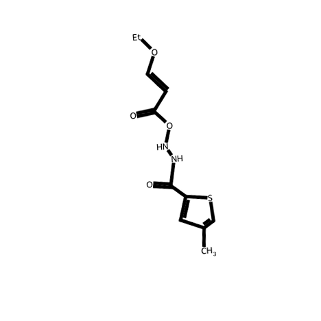 CCOC=CC(=O)ONNC(=O)c1cc(C)cs1